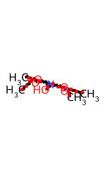 CCCCCCCCC(=CC(=O)OCCCCCCN(CCCO)CCCCCCOC(=O)/C=C(\CCCC)CCCCCCCC)CCCC